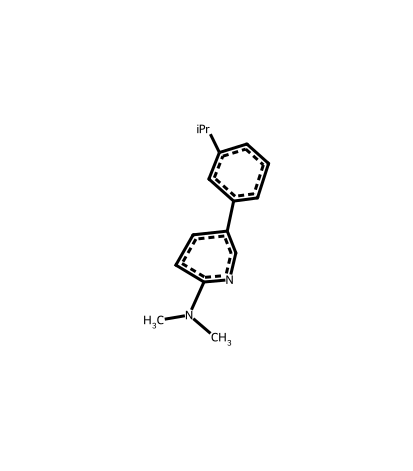 CC(C)c1cccc(-c2ccc(N(C)C)nc2)c1